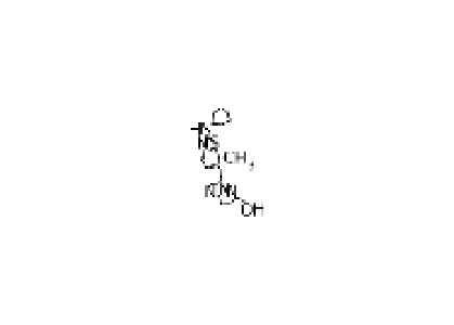 C[C@@H]1C(Cc2cnc3ccc(CO)nn23)=CC=C2N=C(NC3CCCCC3)SC21